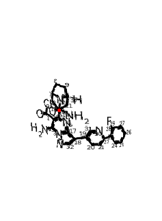 CC(=O)c1c(C2CC3CC[C@@H](C2)N3C(N)=O)nc2c(-c3ccc(-c4ccccc4F)nc3)cnn2c1N